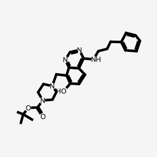 CC(C)(C)OC(=O)N1CCN(Cc2c(O)ccc3c(NCCCc4ccccc4)ncnc23)CC1